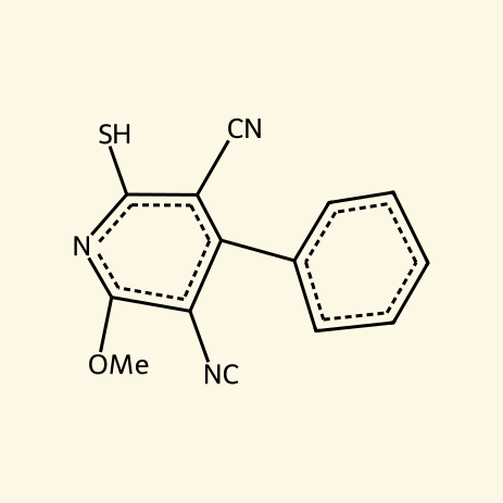 [C-]#[N+]c1c(OC)nc(S)c(C#N)c1-c1ccccc1